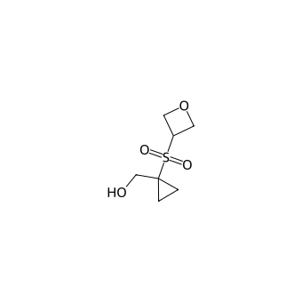 O=S(=O)(C1COC1)C1(CO)CC1